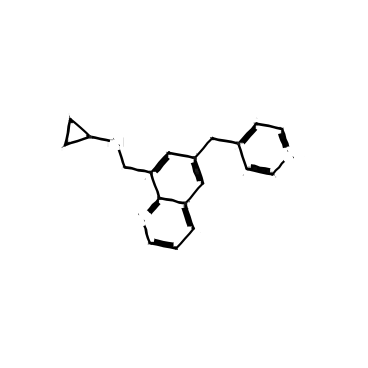 c1cnc2c(CNC3CC3)cc(Cc3ccncc3)cc2c1